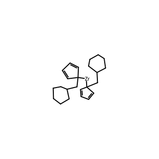 C1=C[C](CC2CCCCC2)([Zr][C]2(CC3CCCCC3)C=CC=C2)C=C1